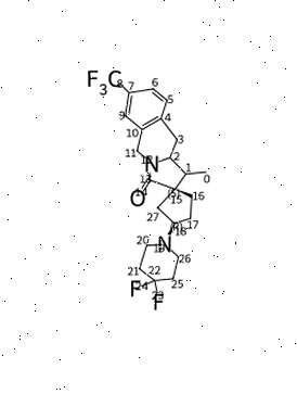 CC1C2Cc3ccc(C(F)(F)F)cc3CN2C(=O)[C@]12CC[C@@H](N1CCC(F)(F)CC1)C2